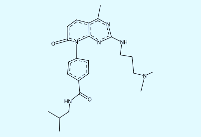 Cc1nc(NCCCN(C)C)nc2c1ccc(=O)n2-c1ccc(C(=O)NCC(C)C)cc1